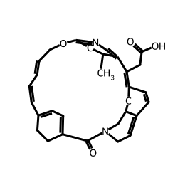 CC1CC2=NC=C1C(CC(=O)O)=C1C=CC3=CCN(CC3C1)C(=O)C1=CC=C(C=CC=CCO2)CC1